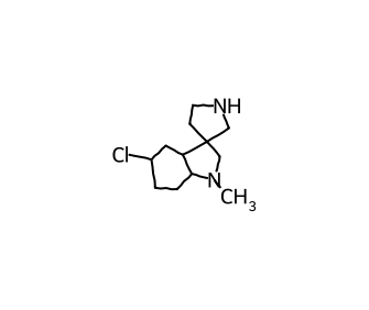 CN1CC2(CCNC2)C2CC(Cl)CCC21